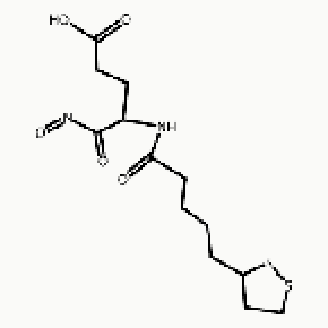 O=NC(=O)C(CCC(=O)O)NC(=O)CCCCC1CCSS1